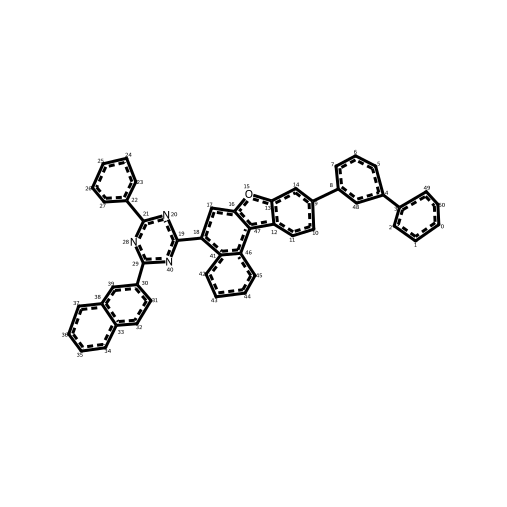 c1ccc(-c2cccc(-c3ccc4c(c3)oc3cc(-c5nc(-c6ccccc6)nc(-c6ccc7ccccc7c6)n5)c5ccccc5c34)c2)cc1